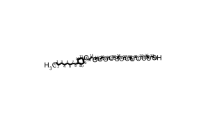 CCCCCCCCCc1ccc(OCCOCOCOCOCOCOCOCOCOCOCOCO)cc1